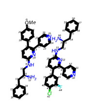 COc1ccc(-c2ccc(NC[C@@H](N)Cc3ccccc3)nc2-c2ccncc2)cc1.N[C@H](CNc1ccc(-c2ccc(Cl)c(F)c2)c(-c2ccncc2)n1)Cc1ccccc1